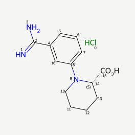 Cl.N=C(N)c1cccc(N2CCCC[C@H]2C(=O)O)c1